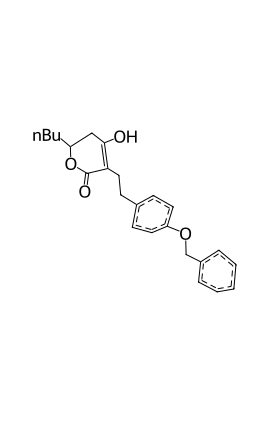 CCCCC1CC(O)=C(CCc2ccc(OCc3ccccc3)cc2)C(=O)O1